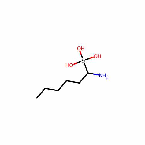 CCCCCC(N)[Si](O)(O)O